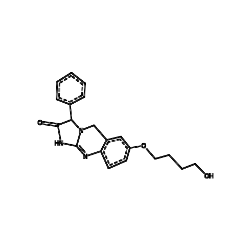 O=C1NC2=Nc3ccc(OCCCCO)cc3CN2C1c1ccccc1